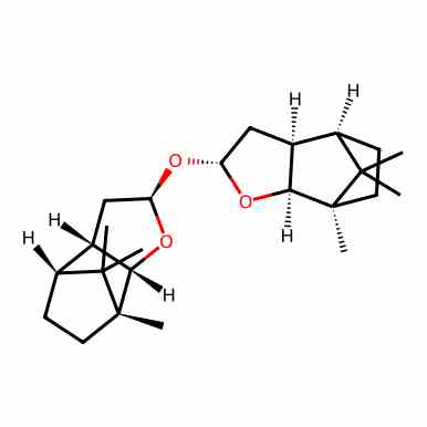 CC1(C)[C@@H]2CC[C@@]1(C)[C@H]1O[C@H](O[C@@H]3C[C@H]4[C@H]5CC[C@@](C)([C@H]4O3)C5(C)C)C[C@@H]21